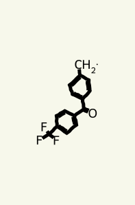 [CH2]c1ccc(C(=O)c2ccc(C(F)(F)F)cc2)cc1